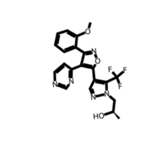 COc1ccccc1-c1noc(-c2cnn(C[C@@H](C)O)c2C(F)(F)F)c1-c1ccncn1